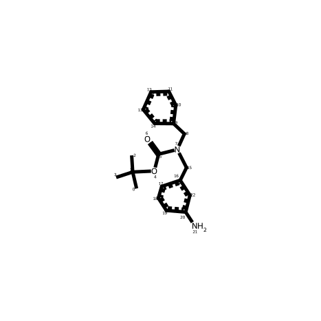 CC(C)(C)OC(=O)N(Cc1ccccc1)Cc1cccc(N)c1